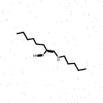 CCCCCC/C(=C/NCCCCC)N=N